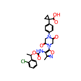 Cc1noc(N2CC(=O)N(c3ccc(C4(C(=O)O)CC4)cc3)CC2=O)c1NC(=O)OC(C)c1ccccc1Cl